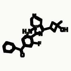 CC1(O)CC(C2=C3C=NC=C[N+]3(N)C(c3ccc(C(=O)c4ccccc4)cc3F)=N2)C1